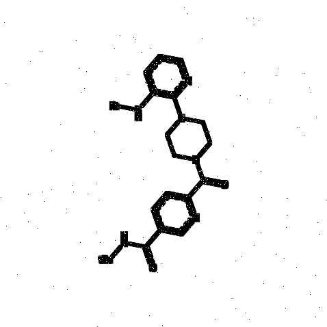 CCNc1cccnc1N1CCN(C(=O)c2ccc(C(=O)NC(C)(C)C)cn2)CC1